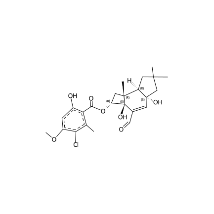 COc1cc(O)c(C(=O)O[C@@H]2C[C@]3(C)[C@H]4CC(C)(C)C[C@@]4(O)C=C(C=O)[C@]23O)c(C)c1Cl